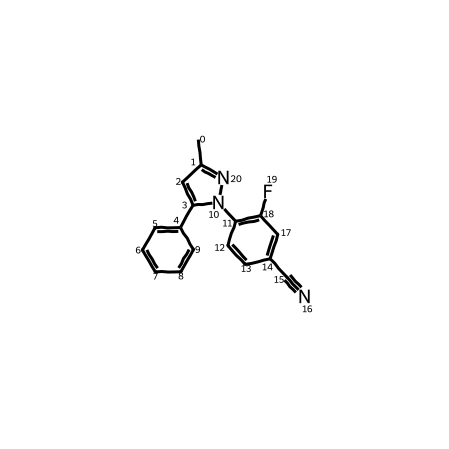 Cc1cc(-c2ccccc2)n(-c2ccc(C#N)cc2F)n1